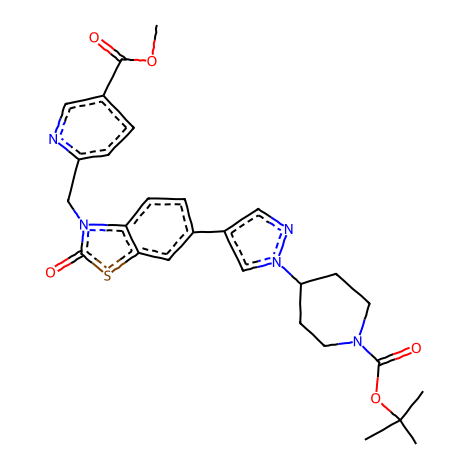 COC(=O)c1ccc(Cn2c(=O)sc3cc(-c4cnn(C5CCN(C(=O)OC(C)(C)C)CC5)c4)ccc32)nc1